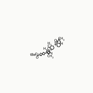 Cc1c(I)c(N2CC[C@@H](CN3CCC[C@@H]4CN(C)C(=O)[C@@H]43)CC2(C)C)nn1C1CC2(C1)CN(C(=O)OC(C)(C)C)C2